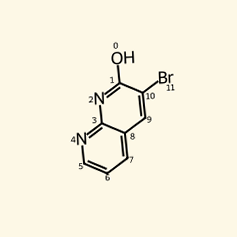 Oc1nc2ncccc2cc1Br